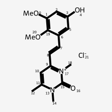 COc1cc(O)cc(C=Cc2cc(C)n(C)c(=O)[n+]2C)c1OC.[Cl-]